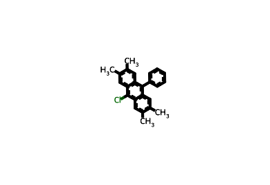 Cc1cc2c(Cl)c3cc(C)c(C)cc3c(-c3ccccc3)c2cc1C